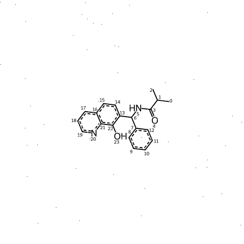 CC(C)C(=O)NC(c1ccccc1)c1ccc2cccnc2c1O